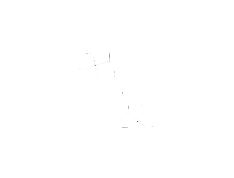 CCCCCCC(OCC)(OCC)C(CC)OCOCOC(CC)C(CCCCCC)(OCC)OCC